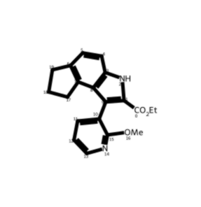 CCOC(=O)c1[nH]c2ccc3c(c2c1-c1cccnc1OC)CCC3